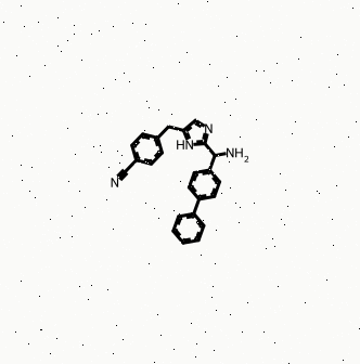 N#Cc1ccc(Cc2cnc(C(N)c3ccc(-c4ccccc4)cc3)[nH]2)cc1